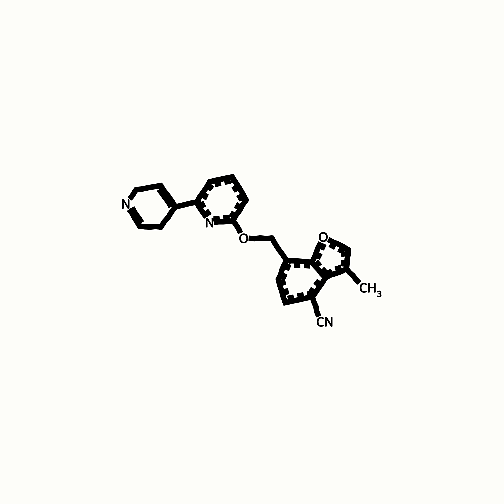 Cc1coc2c(COc3cccc(C4=CCN=CC4)n3)ccc(C#N)c12